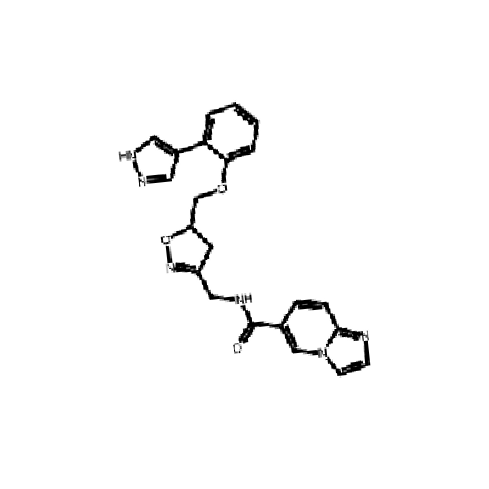 O=C(NCC1=NOC(COc2ccccc2-c2cn[nH]c2)C1)c1ccc2nccn2c1